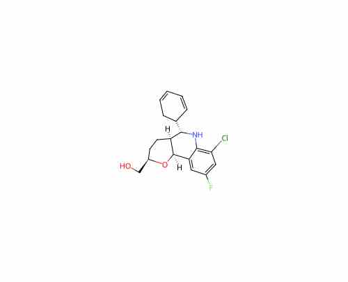 OC[C@H]1CC[C@@H]2[C@H](O1)c1cc(F)cc(Cl)c1N[C@H]2C1C=CC=CC1